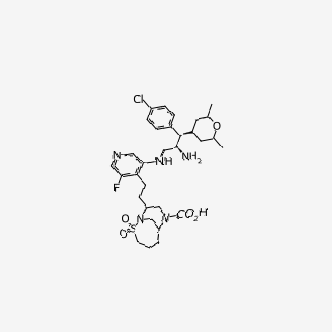 CC1CC([C@H](c2ccc(Cl)cc2)[C@@H](N)CNc2cncc(F)c2CCC2CN(C(=O)O)C3CCCS(=O)(=O)N2C3)CC(C)O1